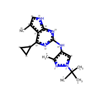 Cc1nn(C(C)(C)C#N)cc1Nc1nc(C2CC2)c2c(C#N)c[nH]c2n1